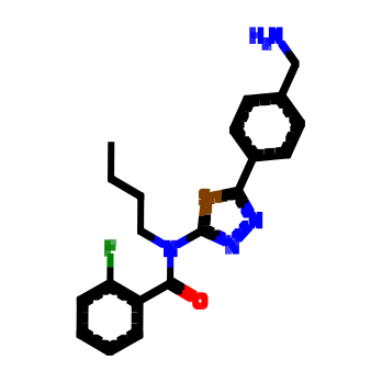 CCCCN(C(=O)c1ccccc1F)c1nnc(-c2ccc(CN)cc2)s1